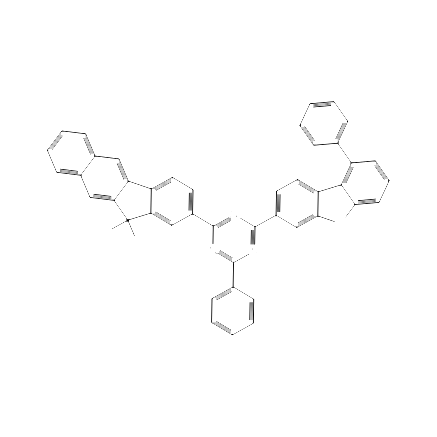 CC1(C)c2cc(-c3nc(-c4ccccc4)nc(-c4ccc5c(c4)oc4cccc(-c6ccccc6)c45)n3)ccc2-c2cc3ccccc3cc21